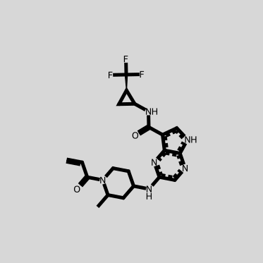 C=CC(=O)N1CCC(Nc2cnc3[nH]cc(C(=O)NC4C[C@H]4C(F)(F)F)c3n2)CC1C